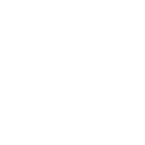 CCCCCNc1ccc(Cl)cc1C(=O)NC(CC(=O)O)c1ccc(-c2ccccc2Oc2ccccc2)cc1